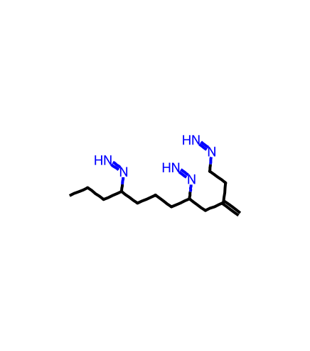 C=C(CCN=N)CC(CCCC(CCC)N=N)N=N